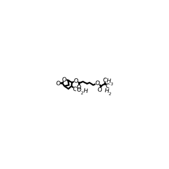 C=C(C)C(=O)OCCCCC(=O)OC1C2CC(CC1C(=O)O)C(=O)O2